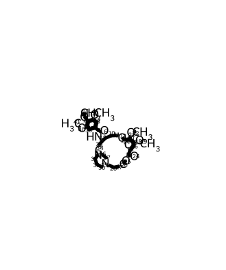 COc1cc(C(=O)NC2CCCOc3cc(cc(OC)c3OC)C(=O)OCCCN3CCCN(CC2)CC3)cc(OC)c1OC